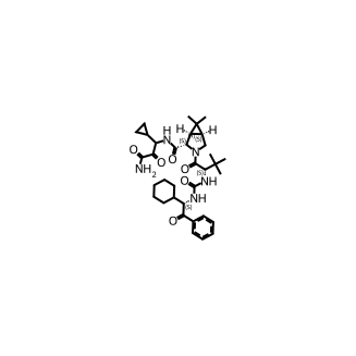 CC(C)(C)[C@H](NC(=O)N[C@H](C(=O)c1ccccc1)C1CCCCC1)C(=O)N1C[C@H]2[C@@H]([C@H]1C(=O)NC(C(=O)C(N)=O)C1CC1)C2(C)C